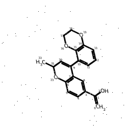 C=C(O)c1ccc2c(c1)C(c1cccc3c1OCCO3)=CC(C)O2